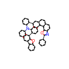 c1ccc(-c2nc3ccc4ccc5cc(-c6ccccc6N(c6ccccc6)c6ccccc6-c6cccc7c6oc6ccccc67)ccc5c4c3o2)cc1